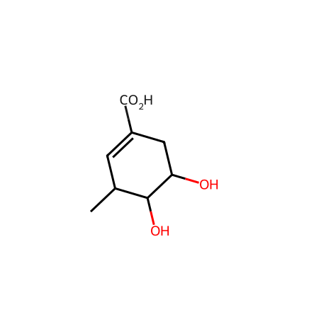 CC1C=C(C(=O)O)CC(O)C1O